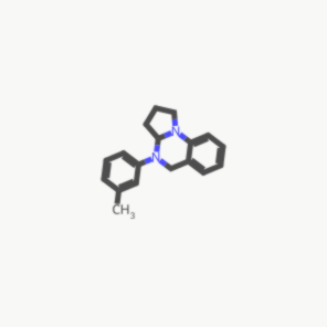 Cc1cccc(N2Cc3ccccc3N3CCCC23)c1